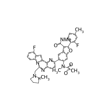 CNC(=O)c1c(-c2ccc(C)cc2F)oc2cc(N(C)S(C)(=O)=O)c(-c3ccc4nc(CN5CCC[C@H]5C)n5c6cccc(F)c6cc5c4n3)cc12